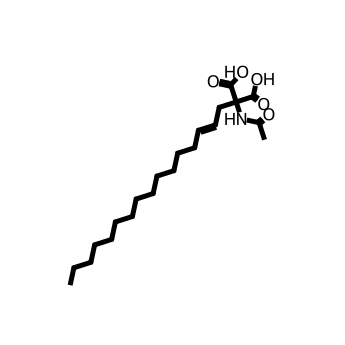 CCCCCCCCCCCCC/C=C/CC(NC(C)=O)(C(=O)O)C(=O)O